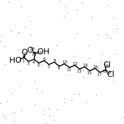 O=C(O)CC(CCCCCCCCCCCCCC(Cl)Cl)C(=O)O